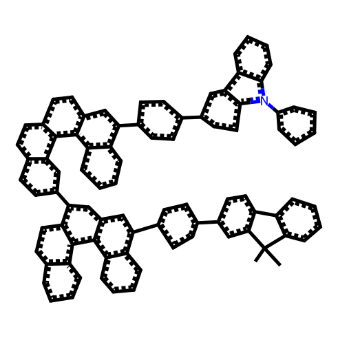 CC1(C)c2ccccc2-c2ccc(-c3ccc(-c4cc5cc(-c6ccc7ccc8ccc9cc(-c%10ccc(-c%11ccc%12c(c%11)c%11ccccc%11n%12-c%11ccccc%11)cc%10)c%10ccccc%10c9c8c7c6)c6ccc7ccccc7c6c5c5ccccc45)cc3)cc21